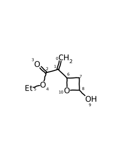 C=C(C(=O)OCC)C1CC(O)O1